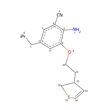 CC(C)Cc1cc(C#N)c(N)c(OCCC2C=CSC2)c1